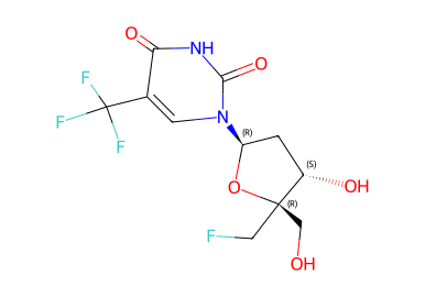 O=c1[nH]c(=O)n([C@H]2C[C@H](O)[C@](CO)(CF)O2)cc1C(F)(F)F